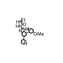 CCNC(=O)Nc1nc2cc(-c3cccnc3)cc(-c3cc(OC)ccn3)c2[nH]1